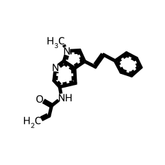 C=CC(=O)Nc1cnc2c(c1)c(/C=C/c1ccccc1)cn2C